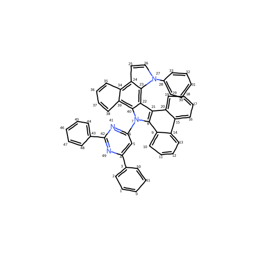 c1ccc(-c2cc(-n3c4c5ccccc5c5ccccc5c4c4c5c(ccn5-c5ccccc5)c5ccccc5c43)nc(-c3ccccc3)n2)cc1